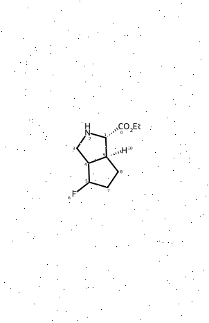 CCOC(=O)[C@H]1NCC2C(F)CC[C@@H]21